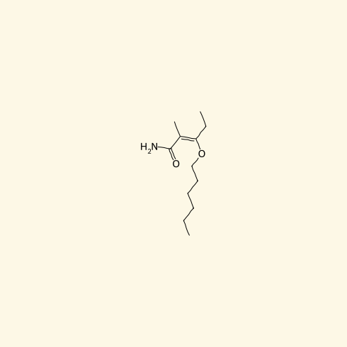 CCCCCCOC(CC)=C(C)C(N)=O